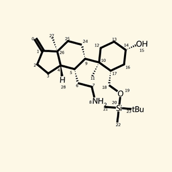 C=C1CC[C@H]2[C@@H](CCN)[C@@H]([C@@]3(C)CC[C@H](O)C[C@@H]3CO[Si](C)(C)C(C)(C)C)CC[C@]12C